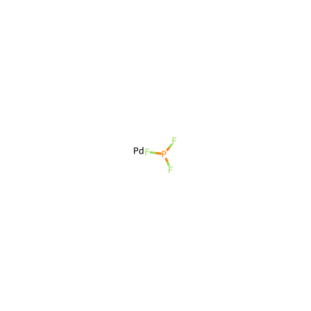 FP(F)F.[Pd]